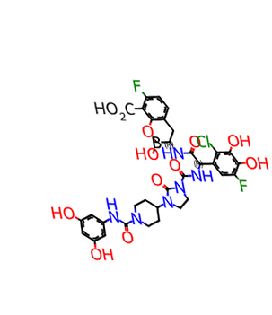 O=C(O)c1c(F)ccc2c1OB(O)[C@@H](NC(=O)[C@H](NC(=O)N1CCN(C3CCN(C(=O)Nc4cc(O)cc(O)c4)CC3)C1=O)c1cc(F)c(O)c(O)c1Cl)C2